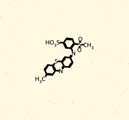 Cc1ccc2sc3c/c(=N\c4cc(S(=O)(=O)O)ccc4S(C)(=O)=O)ccc-3nc2c1